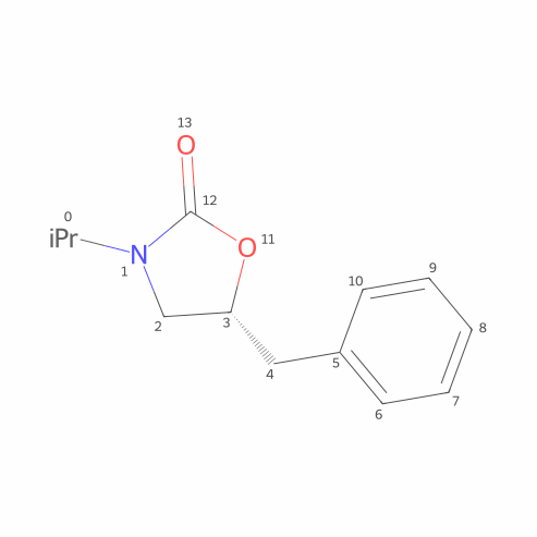 CC(C)N1C[C@@H](Cc2ccccc2)OC1=O